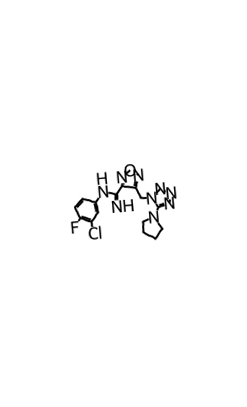 N=C(Nc1ccc(F)c(Cl)c1)c1nonc1Cn1nnnc1N1CCCC1